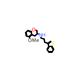 COc1cccc2c1CC(NCCCc1csc3ccccc13)CO2